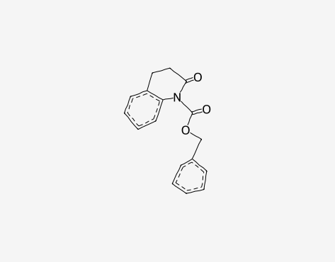 O=C1CCc2ccccc2N1C(=O)OCc1ccccc1